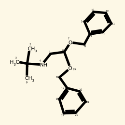 CC(C)(C)NCC(OCc1ccccc1)OCc1ccccc1